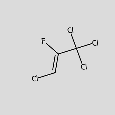 FC(=CCl)C(Cl)(Cl)Cl